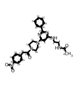 CC(=O)NCCNc1cc(N2CCN(C(=O)Cc3ccc([N+](=O)[O-])cc3)CC2)nc(-c2ccccc2)n1